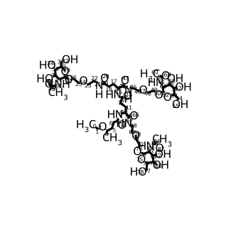 CCOC(C)CCC(=O)NC(CCC(=O)NC(CCC(=O)NCCOCCOC1OC(CO)C(O)C(O)C1NC(C)=O)C(=O)NCCOCCOC1OC(CO)C(O)C(O)C1NC(C)=O)C(=O)NCCOCCOC1OC(CO)C(O)C(O)C1NC(C)=O